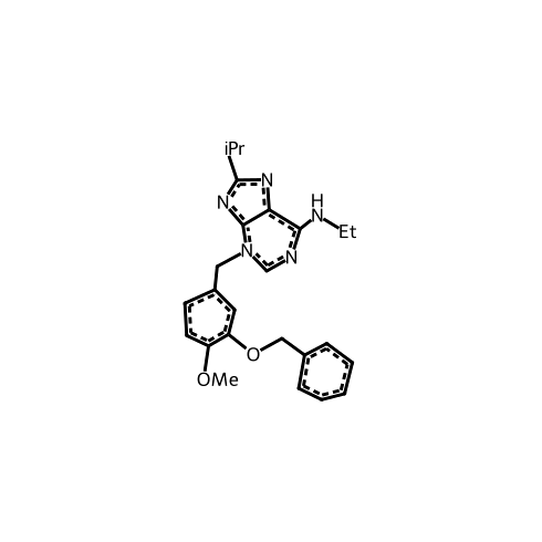 CCNc1ncn(Cc2ccc(OC)c(OCc3ccccc3)c2)c2nc(C(C)C)nc1-2